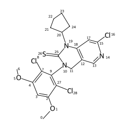 COc1cc(OC)c(Cl)c(N2Cc3cnc(Cl)cc3N(C3CCCC3)C2=S)c1Cl